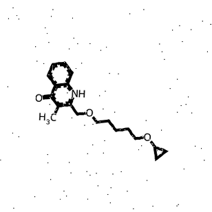 Cc1c(COCCCCCOC2CC2)[nH]c2ccccc2c1=O